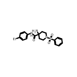 CCc1ccc(NC(=O)C2(N)CCN(S(=O)(=O)c3ccccc3)CC2)cc1